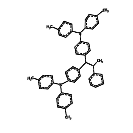 Cc1ccc(N(c2ccc(C)cc2)c2ccc(C(c3ccc(N(c4ccc(C)cc4)c4ccc(C)cc4)cc3)C(C)c3ccccc3)cc2)cc1